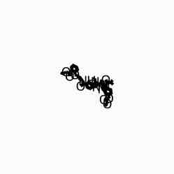 CCOC(=O)c1ccccc1OCCNC(=O)c1ccc2nc(C(C)c3nc4cc(OC(=O)OC)ccc4n3C(=O)C(C)C)n(C)c2c1